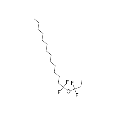 CCCCCCCCCCCCCC(F)(F)OC(F)(F)CC